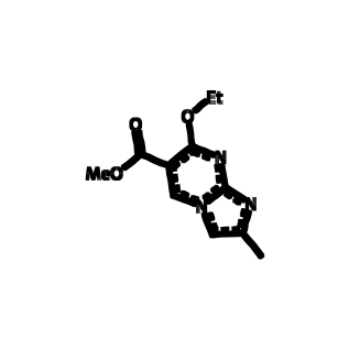 CCOc1nc2nc(C)cn2cc1C(=O)OC